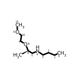 CCCCNC[C@@H](C)OCCOC